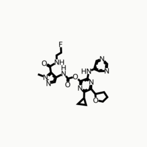 Cn1ncc(NC(=O)Oc2nc(C3CC3)c(C3CCCO3)nc2Nc2cncnc2)c1C(=O)NCCF